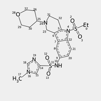 CCS(=O)(=O)n1c2c(c3cc(NS(=O)(=O)c4cn(C)cn4)ccc31)CN(C1CCOCC1)CC2